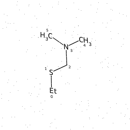 [CH2]CSCN(C)C